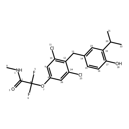 CNC(=O)C(F)(F)Oc1cc(Cl)c(Cc2ccc(O)c(C(C)C)c2)c(Cl)c1